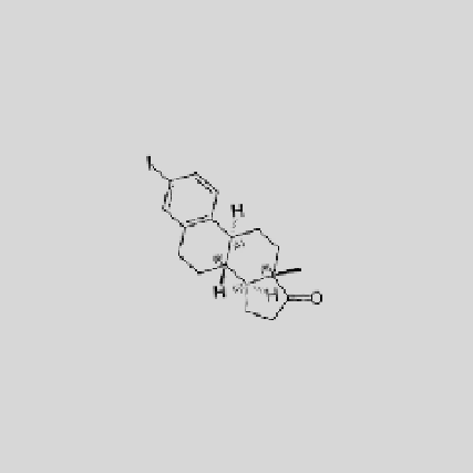 C[C@]12CC[C@@H]3c4ccc(I)cc4CC[C@H]3[C@@H]1CCC2=O